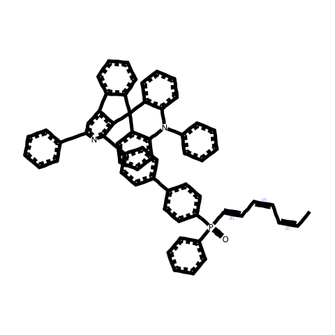 C\C=C/C=C\C=C\P(=O)(c1ccccc1)c1ccc(-c2ccc(-c3nc(-c4ccccc4)cc4c3C3(c5ccccc5-4)c4ccccc4N(c4ccccc4)c4ccccc43)cc2)cc1